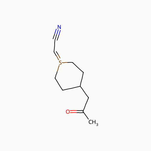 CC(=O)CC1CCS(=CC#N)CC1